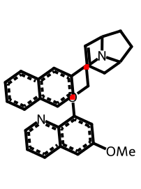 COc1cc(OCCN2C3C=C(c4ccc5ccccc5c4)CC2CC3)c2ncccc2c1